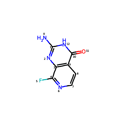 Nc1nc2c(F)nccc2c(=O)[nH]1